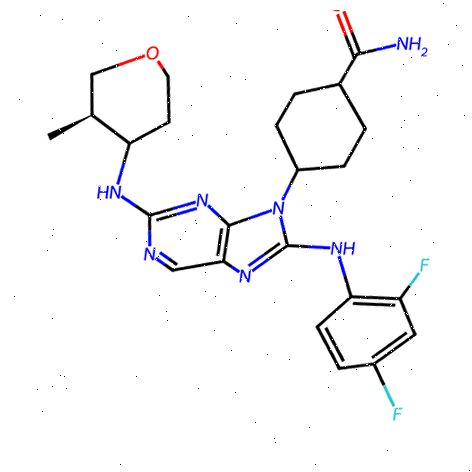 C[C@H]1COCCC1Nc1ncc2nc(Nc3ccc(F)cc3F)n(C3CCC(C(N)=O)CC3)c2n1